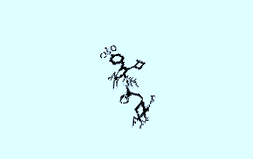 Cn1nc(NC(=O)C[C@@H]2CC(F)(F)C2(F)F)c(C2CCC2)c1-c1ccc(S(C)(=O)=O)cc1